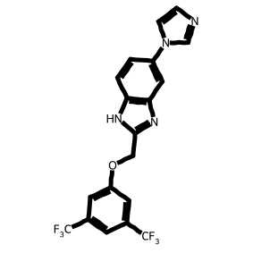 FC(F)(F)c1cc(OCc2nc3cc(-n4ccnc4)ccc3[nH]2)cc(C(F)(F)F)c1